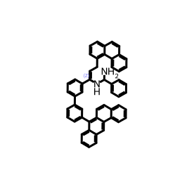 NC(N/C(=C\Cc1cccc2ccc3ccccc3c12)c1cccc(-c2cccc(-c3c4ccccc4cc4c3ccc3ccccc34)c2)c1)c1ccccc1